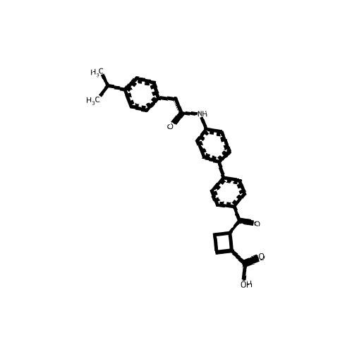 CC(C)c1ccc(CC(=O)Nc2ccc(-c3ccc(C(=O)C4CCC4C(=O)O)cc3)cc2)cc1